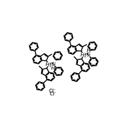 CC1=Cc2c(-c3ccccc3)cccc2[CH]1[Hf+]([CH]1C(C)=Cc2c(-c3ccccc3)cccc21)[SiH](c1ccccc1)c1ccccc1.CC1=Cc2c(-c3ccccc3)cccc2[CH]1[Hf+]([CH]1C(C)=Cc2c(-c3ccccc3)cccc21)[SiH](c1ccccc1)c1ccccc1.[Cl-].[Cl-]